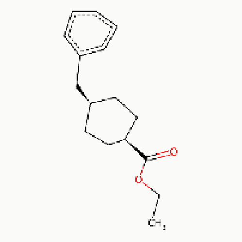 CCOC(=O)[C@H]1CC[C@@H](Cc2ccccc2)CC1